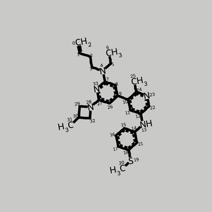 C=CCCN(CC)c1cc(-c2cc(Nc3cccc(SC)c3)cnc2C)cc(N2CC(C)C2)n1